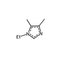 CCn1cnc(C)c1C